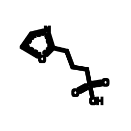 O=S(=O)(O)CCCc1ncco1